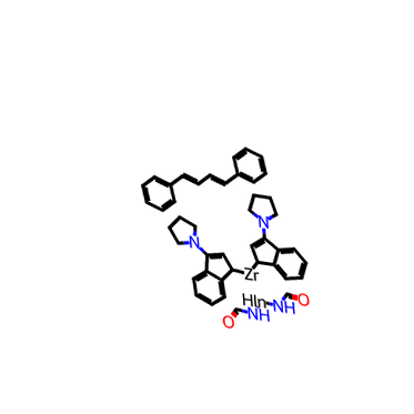 C(C=Cc1ccccc1)=Cc1ccccc1.C1=C(N2CCCC2)c2ccccc2[CH]1[Zr][CH]1C=C(N2CCCC2)c2ccccc21.O=C[NH][InH][NH]C=O